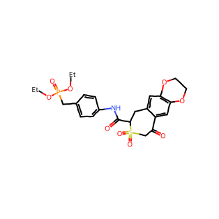 CCOP(=O)(Cc1ccc(NC(=O)C2Cc3cc4c(cc3C(=O)CS2(=O)=O)OCCO4)cc1)OCC